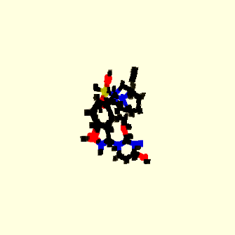 CS(=O)(=O)N1C[C@H]2CC[C@@H](C1)N2Cc1ccc2onc(-n3ccc(=O)[nH]c3=O)c2c1